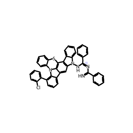 N=C(/N=C(\Nn1c2ccccc2c2c3c4c(cc21)c1cccc(-c2ccccc2Cl)c1n4-c1ccccc1S3)c1ccccc1)c1ccccc1